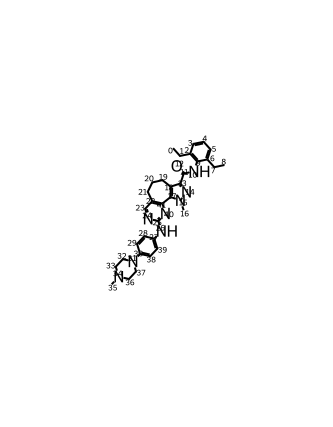 CCc1cccc(CC)c1NC(=O)c1nn(C)c2c1CCCc1cnc(Nc3ccc(N4CCN(C)CC4)cc3)nc1-2